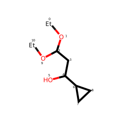 CCOC(CC(O)C1CC1)OCC